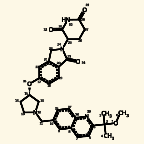 COC(C)(C)c1ccc2cc(CN3CC[C@H](Oc4ccc5c(c4)CN(C4CCC(=O)NC4=O)C5=O)C3)ccc2n1